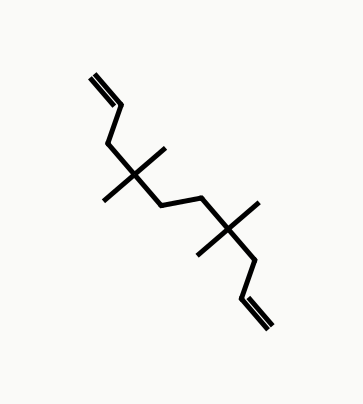 C=CCC(C)(C)CCC(C)(C)CC=C